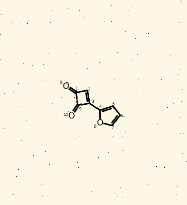 O=c1cc(-c2ccco2)c1=O